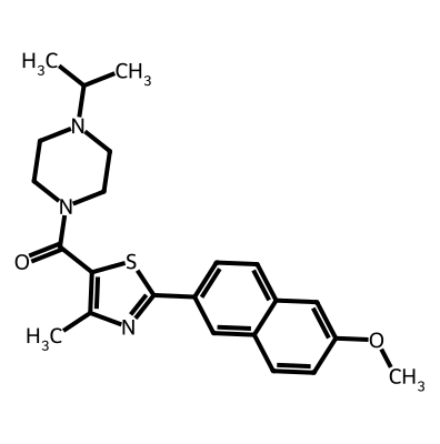 COc1ccc2cc(-c3nc(C)c(C(=O)N4CCN(C(C)C)CC4)s3)ccc2c1